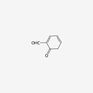 O=CC1=CC=CCC1=O